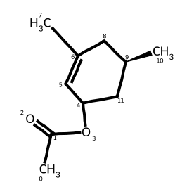 CC(=O)OC1C=C(C)C[C@@H](C)C1